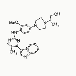 COc1cc(N2CCN(C(C)CO)CC2)ccc1Nc1ncc(C)c(-c2cnc3ccccn23)n1